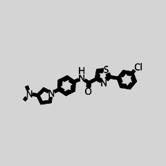 CN(C)C1CCN(c2ccc(NC(=O)c3csc(-c4cccc(Cl)c4)n3)cc2)C1